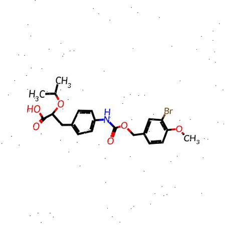 COc1ccc(COC(=O)Nc2ccc(CC(OC(C)C)C(=O)O)cc2)cc1Br